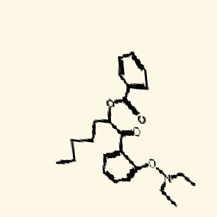 CCCCCC(OC(=O)c1ccccc1)C(=O)c1ccccc1ON(CC)CC